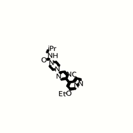 CCOc1cc(-c2ccc(N3CCN(C(=O)NCC(C)C)CC3)nc2)c2c(C#N)cnn2c1